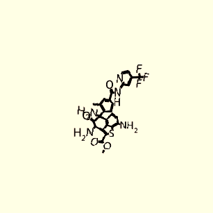 COC(=O)c1sc2c(N)ccc3c2c1C(N)C(=O)C3(N)c1ccc(C(=O)Nc2cc(C(F)(F)F)ccn2)cc1C